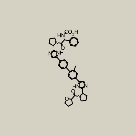 Cc1cc(-c2cnc(C3CCCN3C(=O)C3CCCO3)[nH]2)ccc1-c1ccc(-c2cnc([C@@H]3CCCN3C(=O)[C@H](NC(=O)O)c3ccccc3)[nH]2)cc1